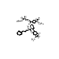 Cn1c(=O)oc2cc(C(=O)CCCCNC(=O)OC(C)(C)C)ccc21.Cn1c(=O)oc2cc(C3CCCCN3C(=O)NCCCCc3ccccc3)ccc21